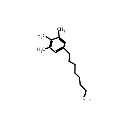 [CH2]CCCCCCCc1cc(C)c(C)c(C)c1